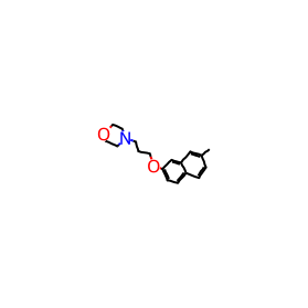 Cc1ccc2ccc(OCCCN3CCOCC3)cc2c1